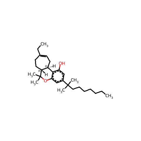 CCCCCCCC(C)(C)c1cc(O)c2c(c1)OC(C)(C)[C@@H]1CCC(CC)=CC[C@@H]21